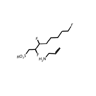 C=CCN.O=S(=O)(O)CC(F)C(F)CCCCCF